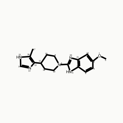 COc1ccc2[nH]c(N3CCC(c4nc[nH]c4C)CC3)nc2c1